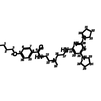 CCCCOc1ccc(C(=O)NCCN(C)CCNc2cc(N3CCCC3)nc(N3CCCC3)n2)cc1